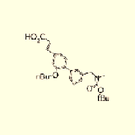 CCCCOc1cc(/C=C/C(=O)O)ccc1-c1cccc(CN(C)C(=O)OC(C)(C)C)c1